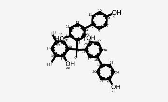 CC(c1cc(-c2ccc(O)cc2)ccc1O)(c1cc(-c2ccc(O)cc2)ccc1O)c1cc(I)cc(I)c1O